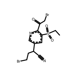 CCS(=O)(=O)c1cc(C(C#N)CCBr)cnc1C(=O)CBr